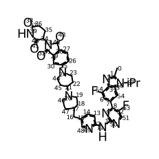 Cc1nc2c(F)cc(-c3nc(Nc4ccc(CC5CCN(C6CCN(c7ccc8c(c7)C(=O)N(C7CCC(=O)NC7=O)C8=O)CC6)CC5)cn4)ncc3F)cc2n1C(C)C